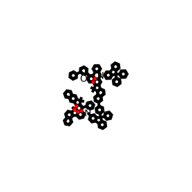 CC1(C)c2cc(N(c3ccc4c(c3)C(c3ccccc3)(c3ccc(-c5ccc6c7c(ccc6c5)-c5cc(N(c6ccc8c(c6)-c6ccccc6C8(c6ccccc6)c6ccccc6)c6ccccc6-c6cccc8oc9c(-c%10ccccc%10)cccc9c68)ccc5C7(C)C)cc3)c3ccccc3-4)c3ccccc3-c3cccc4c3C(C)(C)c3cc5ccccc5cc3-4)ccc2-c2c1ccc1ccccc21